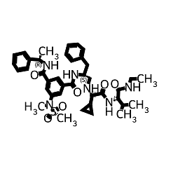 CCNC(=O)[C@@H](NC(=O)[C@@H](NC[C@H](Cc1ccccc1)NC(=O)c1cc(C(=O)N[C@H](C)c2ccccc2)cc(N(C)S(C)(=O)=O)c1)C1CC1)C(C)C